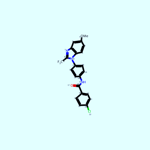 COc1ccc2c(c1)nc(C(F)(F)F)n2-c1ccc(NC(=O)c2ccc(Cl)cc2)cc1